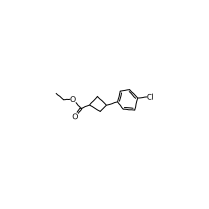 CCOC(=O)C1CC(c2ccc(Cl)cc2)C1